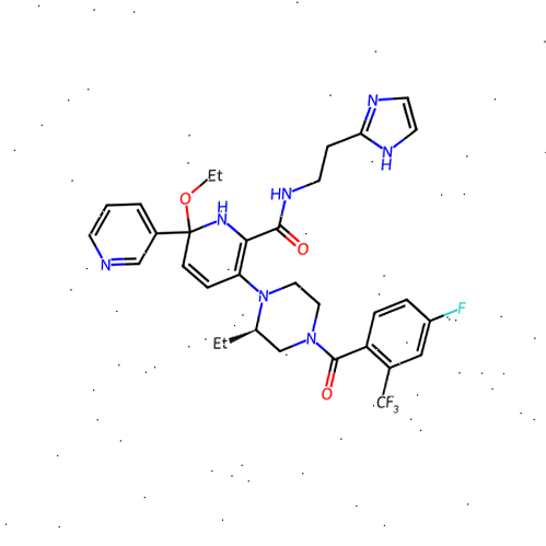 CCOC1(c2cccnc2)C=CC(N2CCN(C(=O)c3ccc(F)cc3C(F)(F)F)C[C@H]2CC)=C(C(=O)NCCc2ncc[nH]2)N1